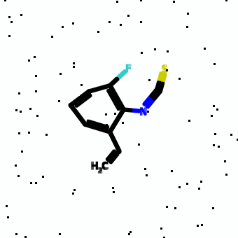 C=Cc1cccc(F)c1N=C=S